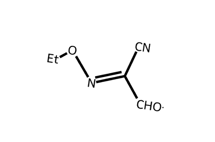 CCON=C([C]=O)C#N